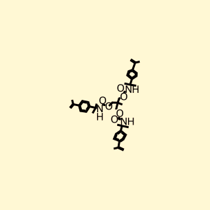 C=C(C)c1ccc(C(C)(C)NC(=O)OCC(C)(COC(=O)NC(C)(C)c2ccc(C(=C)C)cc2)COC(=O)NC(C)(C)c2ccc(C(=C)C)cc2)cc1